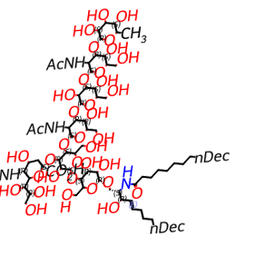 CCCCCCCCCCCCC/C=C/[C@@H](O)[C@H](CO[C@@H]1OC(CO)[C@@H](O[C@@H]2OC(CO)[C@H](O[C@@H]3OC(CO)[C@H](O)[C@H](O[C@@H]4OC(CO)[C@H](O)[C@H](O[C@@H]5OC(CO)[C@@H](O)[C@H](O[C@H]6OC(C)[C@@H](O)C(O)[C@@H]6O)C5NC(C)=O)C4O)C3NC(C)=O)[C@H](O[C@]3(C(=O)O)CC(O)[C@@H](NC(C)=O)C([C@H](O)[C@H](O)CO)O3)C2O)[C@H](O)C1O)NC(=O)CCCCCCCCCCCCCCCCC